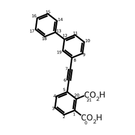 O=C(O)c1cccc(C#Cc2cccc(-c3ccccc3)c2)c1C(=O)O